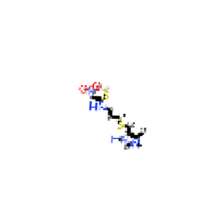 CSC(=C[N+](=O)[O-])NCCCSCc1[nH]cnc1C